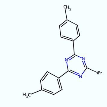 Cc1ccc(-c2nc(-c3ccc(C)cc3)nc(C(C)C)n2)cc1